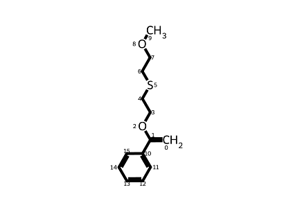 C=C(OCCSCCOC)c1ccccc1